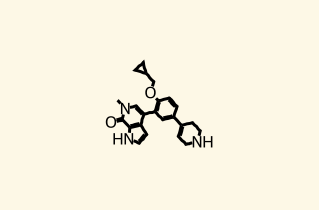 Cn1cc(-c2cc(C3=CCNCC3)ccc2OCC2CC2)c2cc[nH]c2c1=O